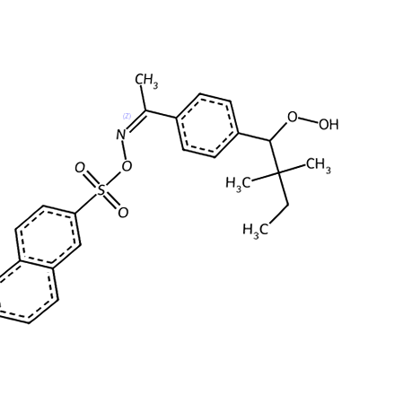 CCC(C)(C)C(OO)c1ccc(/C(C)=N\OS(=O)(=O)c2ccc3ccccc3c2)cc1